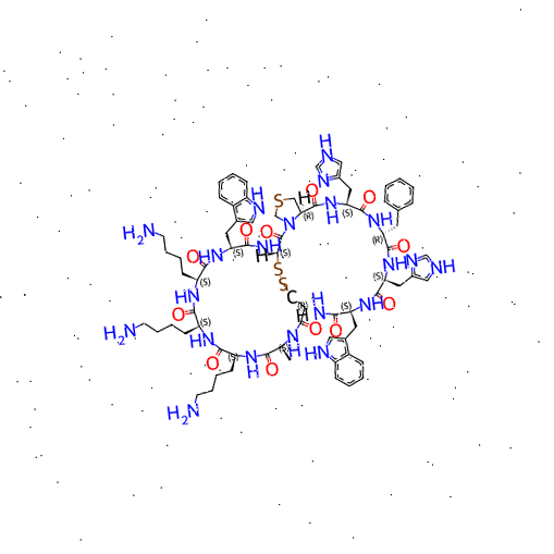 C[C@@H]1NC(=O)[C@@H]2CSS[C@H](NC(=O)[C@H](Cc3c[nH]c4ccccc34)NC(=O)[C@H](CCCCN)NC(=O)[C@H](CCCCN)NC(=O)[C@H](CCCCN)NC1=O)C(=O)N1CSC[C@H]1C(=O)N[C@@H](Cc1c[nH]cn1)C(=O)N[C@H](Cc1ccccc1)C(=O)N[C@@H](Cc1c[nH]cn1)C(=O)N[C@@H](Cc1c[nH]c3ccccc13)C(=O)N2